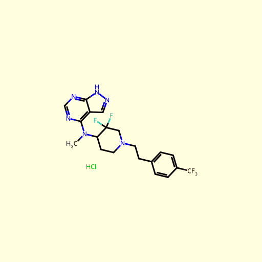 CN(c1ncnc2[nH]ncc12)C1CCN(CCc2ccc(C(F)(F)F)cc2)CC1(F)F.Cl